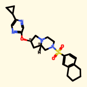 O=S(=O)(c1ccc2c(c1)CCCC2)N1CCN2C[C@H](Oc3cnc(C4CC4)cn3)C[C@H]2C1